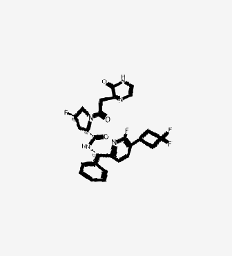 O=C(N[C@@H](c1ccccc1)c1ccc(C2CC(F)(F)C2)c(F)n1)[C@@H]1C[C@@H](F)CN1C(=O)Cc1ncc[nH]c1=O